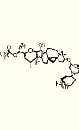 CC(C)[C@@H](OC(N)=O)C1C[C@@H](C)[C@H]2C(O1)[C@H](O)[C@@]1(C)C3CC[C@H]4C(C)(C)[C@@H](OC5CN(C6CCNCC6)CCO5)CC[C@@]45CC35CC[C@]21C